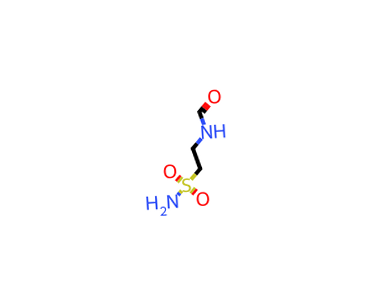 NS(=O)(=O)CCNC=O